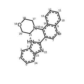 c1ccc2[nH]c(-c3cnc4ccccc4c3N3CCOCC3)nc2c1